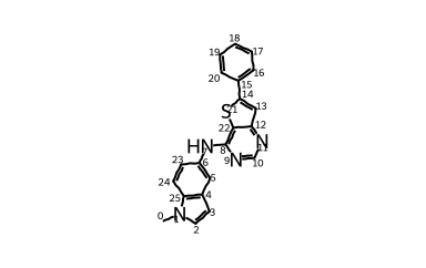 Cn1ccc2cc(Nc3ncnc4cc(-c5ccccc5)sc34)ccc21